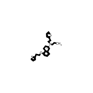 CCCN(CCc1cccs1)[C@H]1CCc2c(cccc2OCCc2cccs2)C1